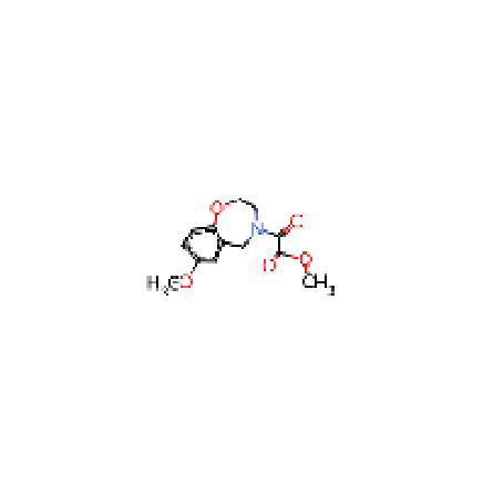 COC(=O)C(=O)N1CCOc2ccc(OC)cc2C1